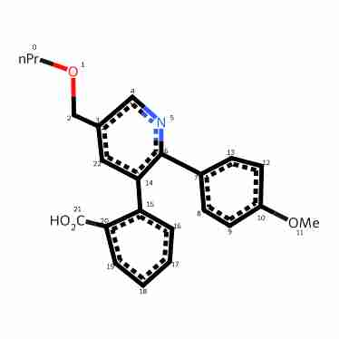 CCCOCc1cnc(-c2ccc(OC)cc2)c(-c2ccccc2C(=O)O)c1